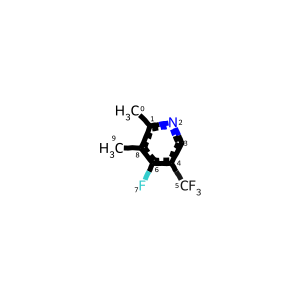 Cc1ncc(C(F)(F)F)c(F)c1C